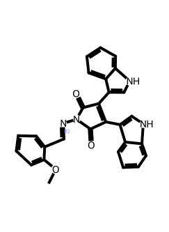 COc1ccccc1/C=N/N1C(=O)C(c2c[nH]c3ccccc23)=C(c2c[nH]c3ccccc23)C1=O